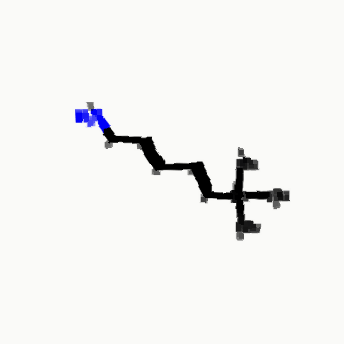 CCC[CH2][Sn]([CH]=CC=CCN)([CH2]CCC)[CH2]CCC